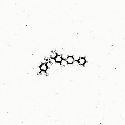 Cc1nc(N2CCN(c3ncccn3)CC2)c(C#N)cc1NS(=O)(=O)c1ccc(Cl)c(Cl)c1